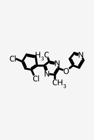 Cc1nc(-c2ccc(Cl)cc2Cl)c(C)nc1Oc1ccncc1